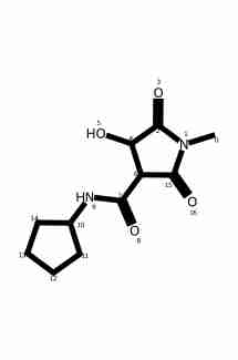 CN1C(=O)C(O)C(C(=O)NC2CCCC2)C1=O